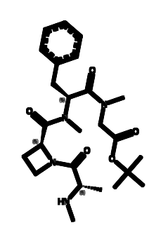 CN[C@@H](C)C(=O)N1CC[C@H]1C(=O)N(C)[C@@H](Cc1ccccc1)C(=O)N(C)CC(=O)OC(C)(C)C